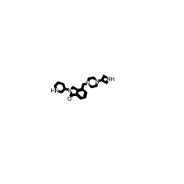 O=C1c2cccc(CN3CCN(C4CNC4)CC3)c2CN1C1CCCNC1